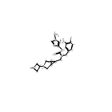 Cn1cnc(OC(=O)N(Cc2ccc(F)c(C(F)(F)F)c2)CC2C3CN(C4CNC4)CC23)c1